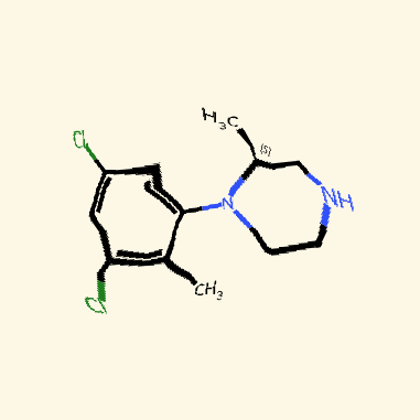 Cc1c(Cl)cc(Cl)cc1N1CCNC[C@@H]1C